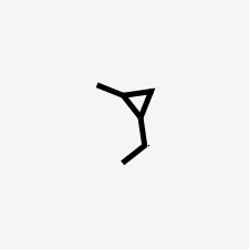 C[CH]C1CC1C